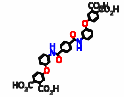 O=C(Nc1cccc(Oc2ccc(C(=O)O)c(C(=O)O)c2)c1)c1ccc(C(=O)Nc2cccc(Oc3ccc(C(=O)O)c(C(=O)O)c3)c2)cc1